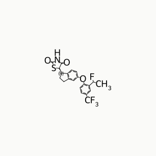 CC(F)c1cc(C(F)(F)F)ccc1Oc1ccc2c(c1)CC[C@H]2C1SC(=O)NC1=O